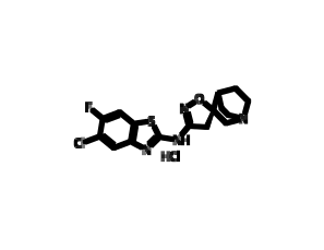 Cl.Fc1cc2sc(NC3=NO[C@@]4(C3)CN3CCC4CC3)nc2cc1Cl